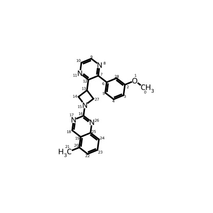 COc1cccc(-c2nccnc2C2CN(c3ncc4c(C)cccc4n3)C2)c1